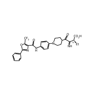 CC[C@@H](C(=N)C(=O)C1CCN(c2ccc(NC(=O)c3nc(-c4ccccc4)oc3C(F)(F)F)cc2)CC1)C(=O)O